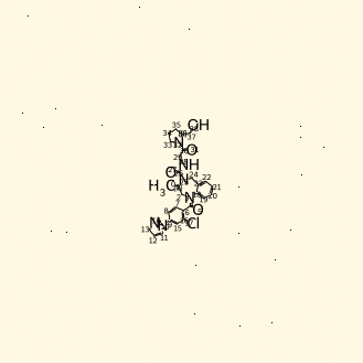 C[C@@H]1CN(C(=O)c2ccc(-n3cccn3)cc2Cl)c2ccccc2CN1C(=O)NCC(=O)N1CCC[C@H]1CO